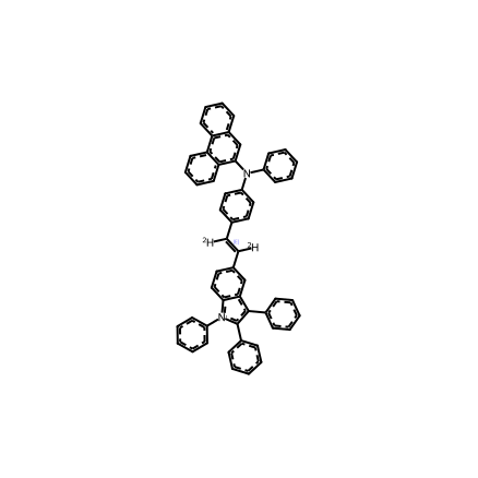 [2H]/C(=C(/[2H])c1ccc2c(c1)c(-c1ccccc1)c(-c1ccccc1)n2-c1ccccc1)c1ccc(N(c2ccccc2)c2cc3ccccc3c3ccccc23)cc1